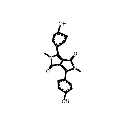 CN1C(=O)C2=C(c3ccc(O)cc3)N(C)C(=O)C2=C1c1ccc(O)cc1